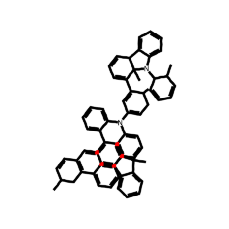 CC1C=Cc2ccc3c(-c4cccc(N(C5=CCC(C)C(C6=CC=CC7c8ccccc8N(C8C=CC=CC8C)C67C)=C5)c5ccccc5-c5ccc6c(c5)C(C)(C)c5ccccc5-6)c4)cccc3c2C1